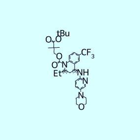 CC[C@@H]1C[C@H](Nc2ccc(N3CCOCC3)cn2)c2cc(C(F)(F)F)ccc2N1C(=O)OCC(C)(C)C(=O)OC(C)(C)C